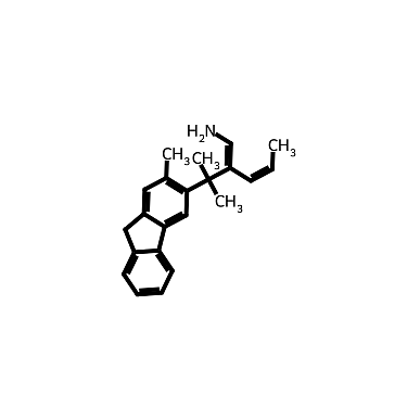 C/C=C\C(=C\N)C(C)(C)c1cc2c(cc1C)Cc1ccccc1-2